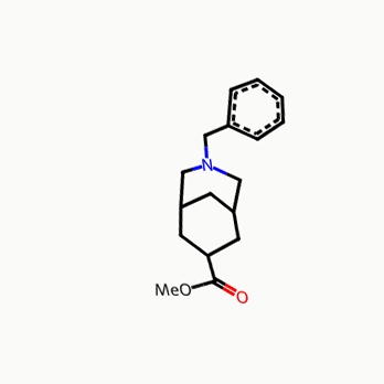 COC(=O)C1CC2CC(C1)CN(Cc1ccccc1)C2